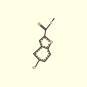 CCC(=O)c1cc2cc(Cl)ccc2o1